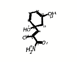 NC(=O)C(Cl)=CC1(O)C=CC=C(O)C1